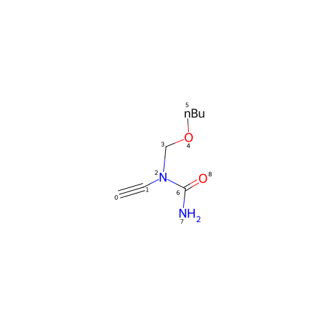 C#CN(COCCCC)C(N)=O